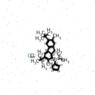 Cc1cc2c(cc1C(C)(C)C)-c1cc(C(C)(C)C)c(C)[c]([Zr+2]([C]3=CC=CC3)=[Si](C)C)c1C2.[Cl-].[Cl-]